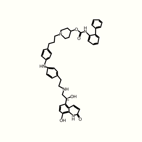 O=C(Nc1ccccc1-c1ccccc1)OC1CCN(CCCc2ccc(Nc3ccc(CCNC[C@@H](O)c4ccc(O)c5[nH]c(=O)ccc45)cc3)cc2)CC1